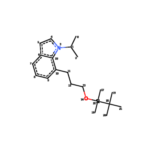 CC(C)n1ccc2cccc(CCCO[Si](C)(C)C(C)(C)C)c21